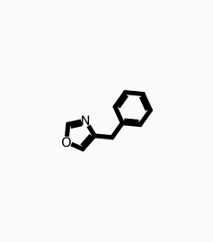 c1ccc(Cc2cocn2)cc1